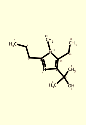 CCCc1nc(C(C)(C)O)c(CC)n1C